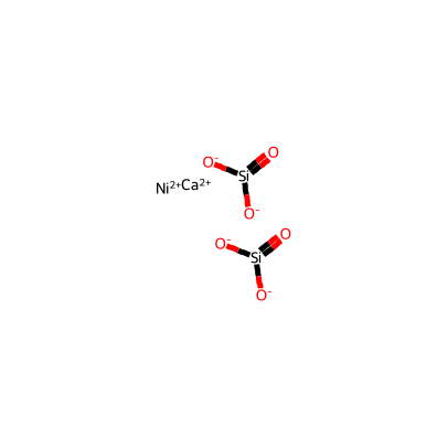 O=[Si]([O-])[O-].O=[Si]([O-])[O-].[Ca+2].[Ni+2]